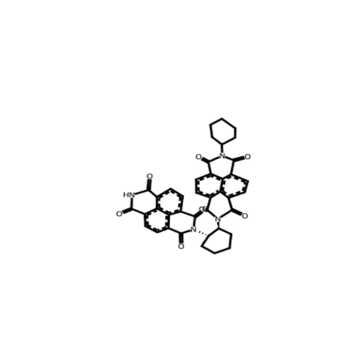 O=C1NC(=O)c2ccc3c4c(ccc1c24)C(=O)N([C@H]1CCCC[C@@H]1N1C(=O)c2ccc4c5c(ccc(c25)C1=O)C(=O)N(C1CCCCC1)C4=O)C3=O